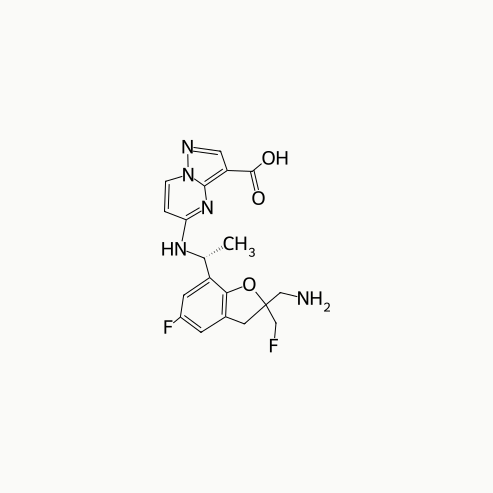 C[C@@H](Nc1ccn2ncc(C(=O)O)c2n1)c1cc(F)cc2c1OC(CN)(CF)C2